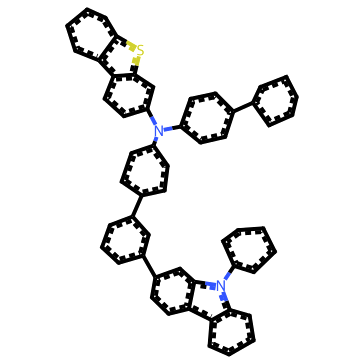 c1ccc(-c2ccc(N(c3ccc(-c4cccc(-c5ccc6c7ccccc7n(-c7ccccc7)c6c5)c4)cc3)c3ccc4c(c3)sc3ccccc34)cc2)cc1